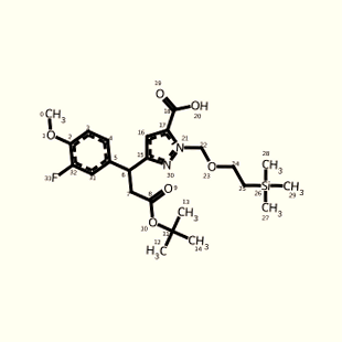 COc1ccc(C(CC(=O)OC(C)(C)C)c2cc(C(=O)O)n(COCC[Si](C)(C)C)n2)cc1F